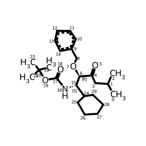 CC(C)CC(=O)[C@H](OCc1ccccc1)[C@@H](NC(=O)OC(C)(C)C)C1CCCCC1